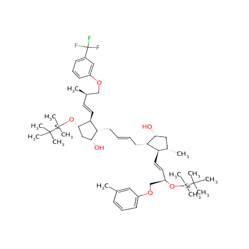 Cc1cccc(OC[C@@H](/C=C/[C@H]2[C@H](C/C=C/C[C@H]3[C@H](/C=C/[C@@H](C)COc4cccc(C(F)(F)F)c4)[C@@H](O[Si](C)(C)C(C)(C)C)C[C@H]3O)[C@H](O)C[C@@H]2C)O[Si](C)(C)C(C)(C)C)c1